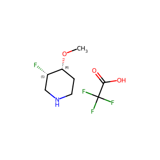 CO[C@@H]1CCNC[C@@H]1F.O=C(O)C(F)(F)F